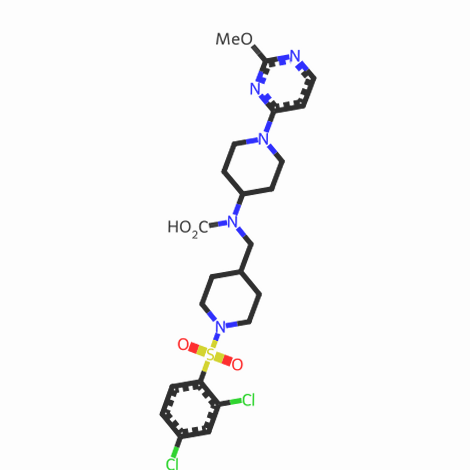 COc1nccc(N2CCC(N(CC3CCN(S(=O)(=O)c4ccc(Cl)cc4Cl)CC3)C(=O)O)CC2)n1